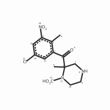 Cc1c(C(=O)C2(C)CNCCN2C(=O)O)cc(Cl)cc1[N+](=O)[O-]